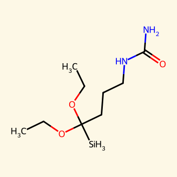 CCOC([SiH3])(CCCNC(N)=O)OCC